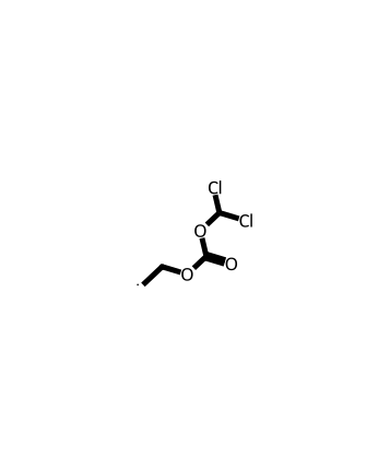 [CH2]COC(=O)OC(Cl)Cl